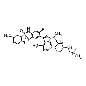 Cc1ccc(F)c(S(=O)(=O)Nc2cc(F)c(-c3nn(C(C)C)c4c3c(N)ncc4[C@H]3CC[C@H](NC[C@@H](C)F)CC3)cc2F)c1